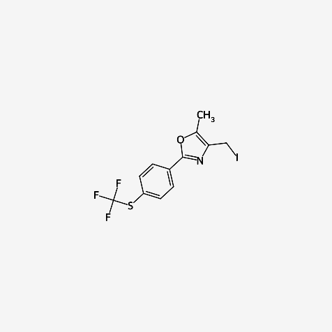 Cc1oc(-c2ccc(SC(F)(F)F)cc2)nc1CI